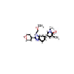 COCCn1c(C2CCOCC2)nc2ccc(-c3cc(C)c(=O)n(C)c3)cc21